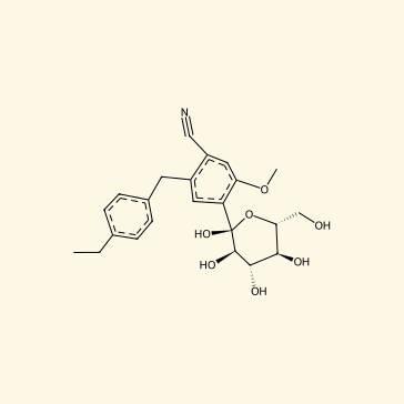 CCc1ccc(Cc2cc([C@]3(O)O[C@H](CO)[C@@H](O)[C@H](O)[C@H]3O)c(OC)cc2C#N)cc1